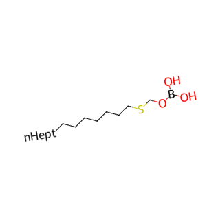 CCCCCCCCCCCCCCSCOB(O)O